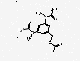 CCC(=O)OCc1cc(N(N)C(N)=O)cc(N(N)C(N)=O)c1